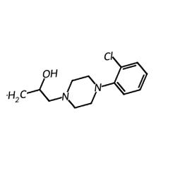 [CH2]C(O)CN1CCN(c2ccccc2Cl)CC1